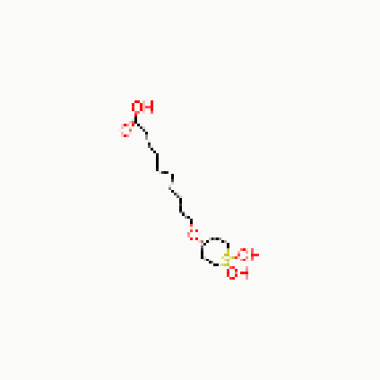 O=C(O)CCCCCCCCCOC1CCS(O)(O)CC1